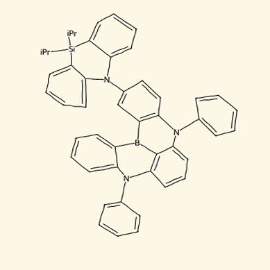 CC(C)[Si]1(C(C)C)c2ccccc2N(c2ccc3c(c2)B2c4ccccc4N(c4ccccc4)c4cccc(c42)N3c2ccccc2)c2ccccc21